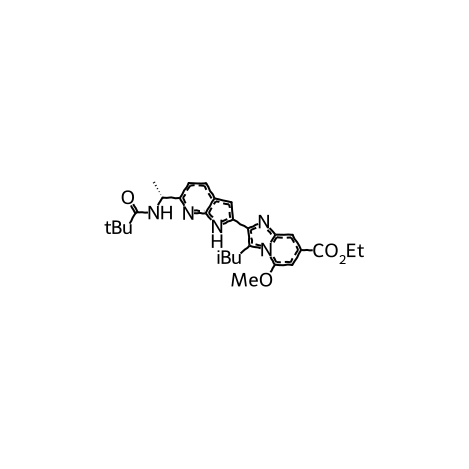 CCOC(=O)c1cc(OC)n2c(C(C)CC)c(-c3cc4ccc([C@@H](C)NC(=O)C(C)(C)C)nc4[nH]3)nc2c1